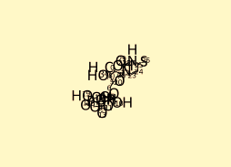 CC1(O)[C@@H](O)C(COP(=O)(O)OP(=O)(O)OP(=O)(O)O)O[C@H]1n1ccc(=S)[nH]c1=O